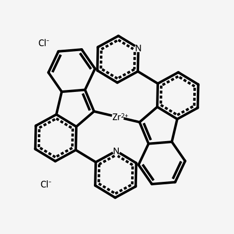 C1=CC2=[C]([Zr+2][C]3=C4C=CC=CC4c4cccc(-c5ccccn5)c43)c3c(-c4ccccn4)cccc3C2C=C1.[Cl-].[Cl-]